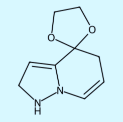 C1=CN2NCC=C2C2(C1)OCCO2